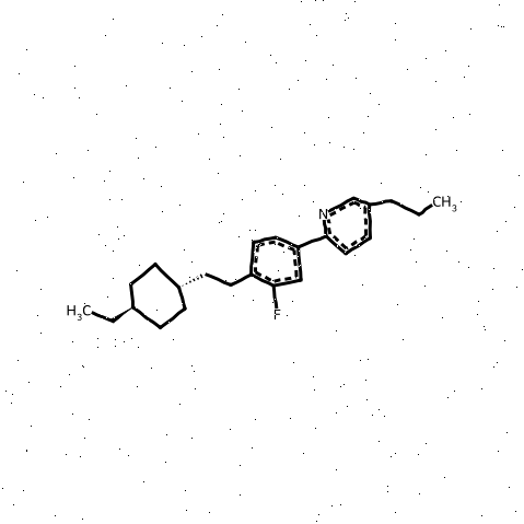 CCCc1ccc(-c2ccc(CC[C@H]3CC[C@H](CC)CC3)c(F)c2)nc1